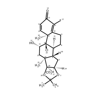 CC1(C)O[C@@H]2C[C@H]3[C@@H]4CCC5=C(F)C(=O)C=C[C@]5(C)[C@@]4(Cl)[C@@H](O)C[C@]3(C)[C@]2(C(=O)O)O1